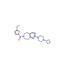 CCc1ccc(C(=O)N2CCc3cnc(N4CCN(C5CCC5)CC4)nc3CC2)s1